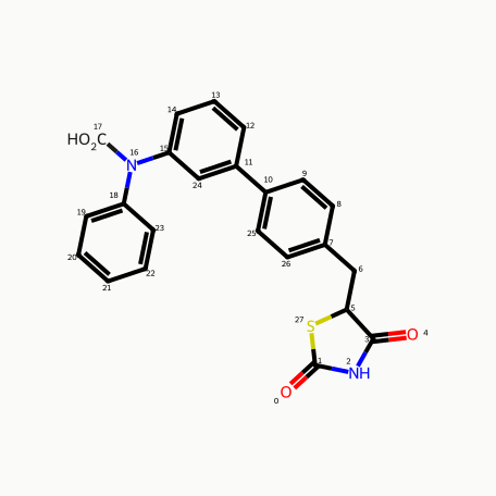 O=C1NC(=O)C(Cc2ccc(-c3cccc(N(C(=O)O)c4ccccc4)c3)cc2)S1